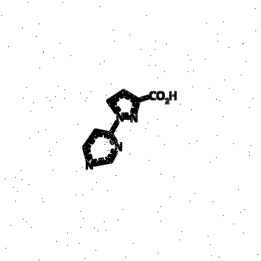 O=C(O)c1ccn(-c2ccncn2)n1